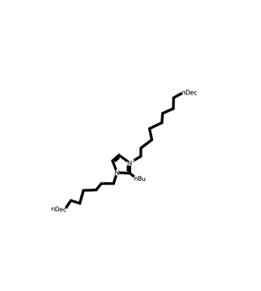 CCCCCCCCCCCCCCCCCC[n+]1ccn(CCCCCCCCCCCCCCCC)c1CCCC